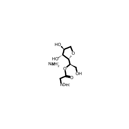 CCCCCCCCCCCC(=O)O[C@H](CO)[C@H]1OC[C@H](O)[C@H]1O.[NH2-].[Na+]